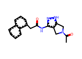 CC(=O)N1Cc2[nH]nc(NC(=O)Cc3cccc4ccccc34)c2C1